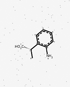 C[C@H](C(=O)O)c1ccccc1N